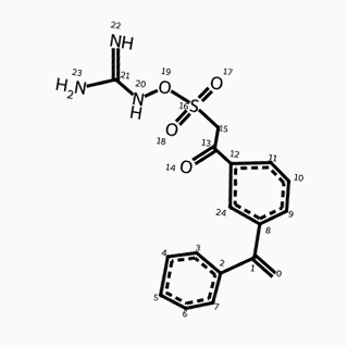 C=C(c1ccccc1)c1cccc(C(=O)CS(=O)(=O)ONC(=N)N)c1